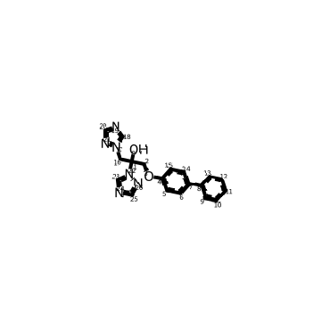 OC(COc1ccc(-c2ccccc2)cc1)(Cn1cncn1)n1cncn1